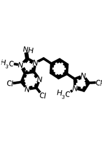 Cn1cc(Cl)nc1-c1ccc(Cn2c(=N)n(C)c3c(Cl)nc(Cl)nc32)cc1